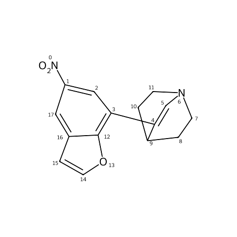 O=[N+]([O-])c1cc(C2=CN3CCC2CC3)c2occc2c1